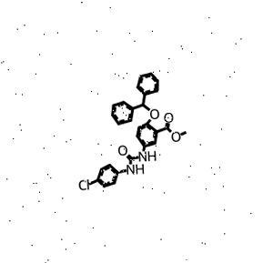 COC(=O)c1cc(NC(=O)Nc2ccc(Cl)cc2)ccc1OC(c1ccccc1)c1ccccc1